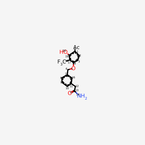 CC(=O)c1ccc(OCc2cccc(CC(N)=O)c2)c(C(F)(F)F)c1O